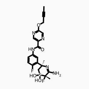 CC#CCOc1cnc(C(=O)Nc2ccc(F)c([C@]3(C)CS(O)(O)[C@@](C)(F)C(N)=N3)c2)cn1